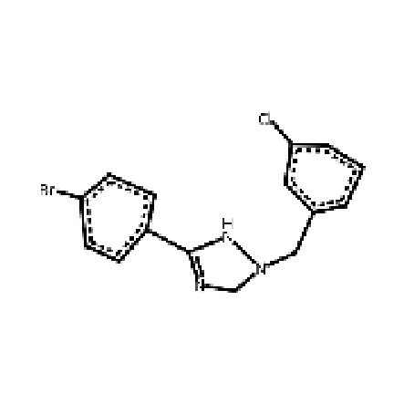 Clc1cccc(CN2CN=C(c3ccc(Br)cc3)N2)c1